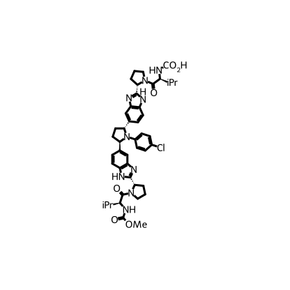 COC(=O)N[C@H](C(=O)N1CCC[C@H]1c1nc2cc([C@H]3CC[C@H](c4ccc5[nH]c([C@@H]6CCCN6C(=O)[C@@H](NC(=O)O)C(C)C)nc5c4)N3c3ccc(Cl)cc3)ccc2[nH]1)C(C)C